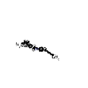 CCCCCCCOc1ccc(/C=C/C(=O)O[C@H]2CC[C@H](NC(=O)C(C)(C)CC)CC2)cc1